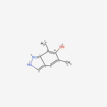 Cc1cc2c[nH]nc2c(C)c1O